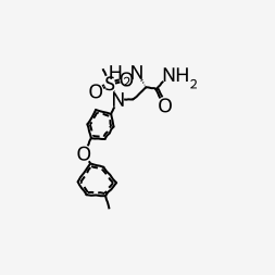 Cc1ccc(Oc2ccc(N(C[C@H](N)C(N)=O)S(C)(=O)=O)cc2)cc1